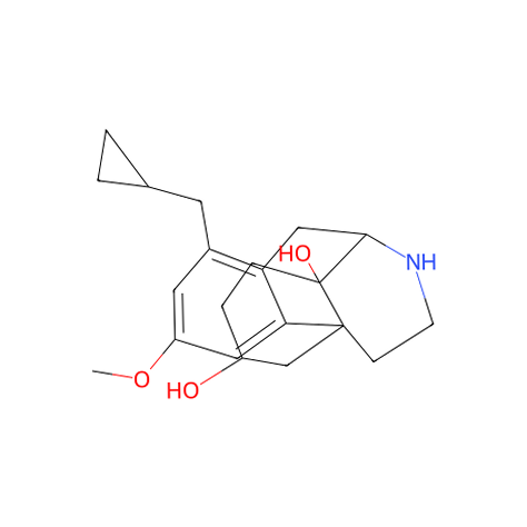 COc1cc(CC2CC2)c2c(c1)C13CCNC(C2)C1(O)CCC(O)C3